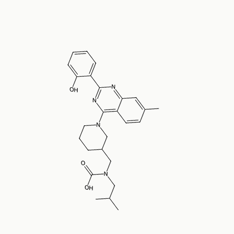 Cc1ccc2c(N3CCCC(CN(CC(C)C)C(=O)O)C3)nc(-c3ccccc3O)nc2c1